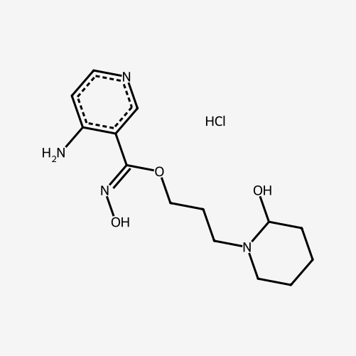 Cl.Nc1ccncc1C(=NO)OCCCN1CCCCC1O